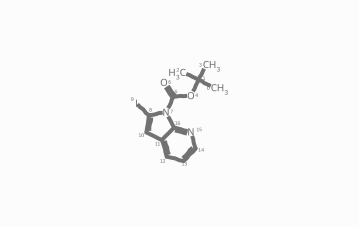 CC(C)(C)OC(=O)n1c(I)cc2cccnc21